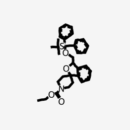 CCOC(=O)N1CCC2(CC1)OC(CO[Si](c1ccccc1)(c1ccccc1)C(C)(C)C)c1ccccc12